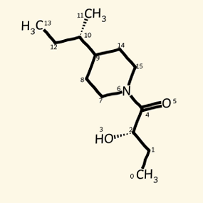 CC[C@H](O)C(=O)N1CCC([C@@H](C)CC)CC1